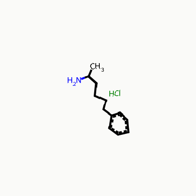 CC(N)CCCCc1ccccc1.Cl